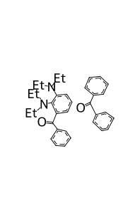 CCN(CC)c1cccc(C(=O)c2ccccc2)c1N(CC)CC.O=C(c1ccccc1)c1ccccc1